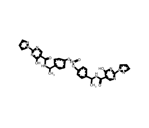 CC(NC(=O)c1cnc(-n2cccn2)nc1O)c1ccc(O[PH](=O)Oc2ccc(C(C)NC(=O)c3cnc(-n4cccn4)nc3O)cc2)cc1